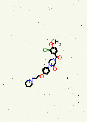 COc1ccc(C(=O)N2CCN(c3ccc(OCCCN4CCCCC4)cc3)C(=O)C2)cc1Cl